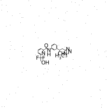 CC(Cc1nncn1C)c1cccc(NC(=O)c2cccc(C(F)(F)CO)n2)c1